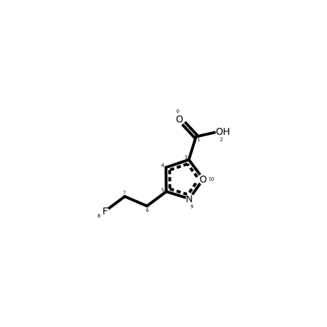 O=C(O)c1cc(CCF)no1